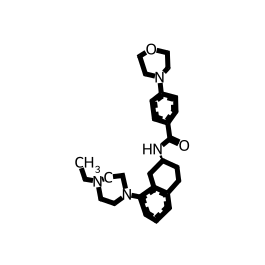 CCN1CCN(c2cccc3c2C[C@H](NC(=O)c2ccc(N4CCOCC4)cc2)CC3)CC1